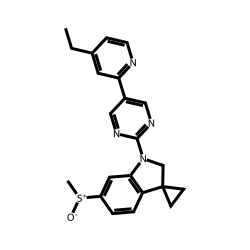 CCc1ccnc(-c2cnc(N3CC4(CC4)c4ccc([S+](C)[O-])cc43)nc2)c1